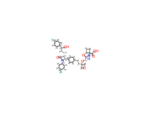 O=C(COC1(CCc2ccc([C@@H]3[C@@H](CCC(O)c4ccc(F)cc4)C(=O)N3c3ccc(F)cc3)cc2)COC1)NC1(C(=O)O)CCC1